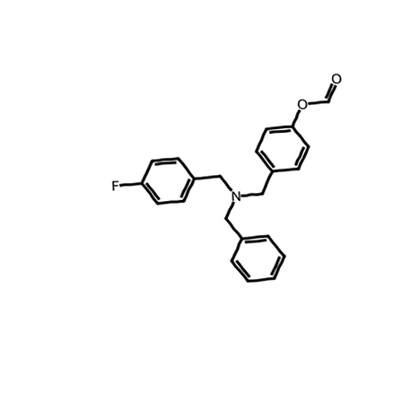 O=COc1ccc(CN(Cc2ccccc2)Cc2ccc(F)cc2)cc1